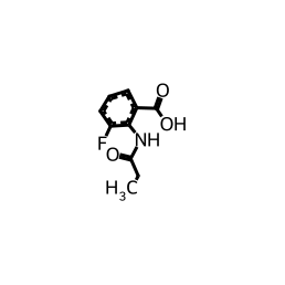 CCC(=O)Nc1c(F)cccc1C(=O)O